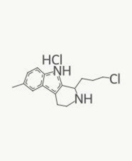 Cc1ccc2[nH]c3c(c2c1)CCNC3CCCCl.Cl